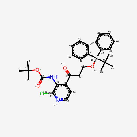 CC(C)(C)OC(=O)Nc1c(C(=O)CCO[Si](c2ccccc2)(c2ccccc2)C(C)(C)C)ccnc1Cl